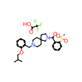 CC(C)COc1ccccc1CN1CCC2(CC1)CCN(C(=O)c1ccccc1S(C)(=O)=O)C2.O=C(O)C(F)(F)F